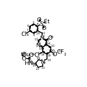 CCS(=O)(=O)c1ccc(Cl)cc1Cn1cnc2c(Cl)c(CN3CC[C@@H](NC(=O)OC(C)(C)C)C3)c(OC(F)(F)F)cc2c1=O